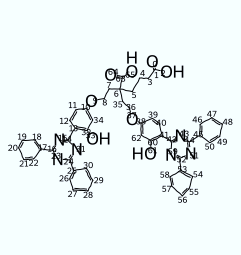 O=C(O)CCCC(CCOc1ccc(-c2nc(-c3ccccc3)nc(-c3ccccc3)n2)c(O)c1)(CCOc1ccc(-c2nc(-c3ccccc3)nc(-c3ccccc3)n2)c(O)c1)C(=O)O